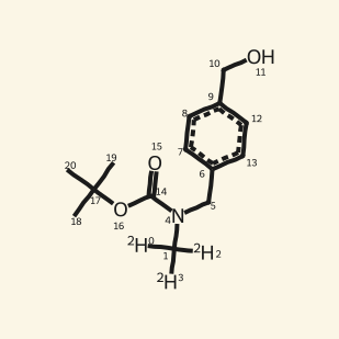 [2H]C([2H])([2H])N(Cc1ccc(CO)cc1)C(=O)OC(C)(C)C